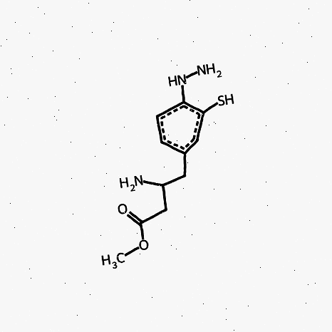 COC(=O)CC(N)Cc1ccc(NN)c(S)c1